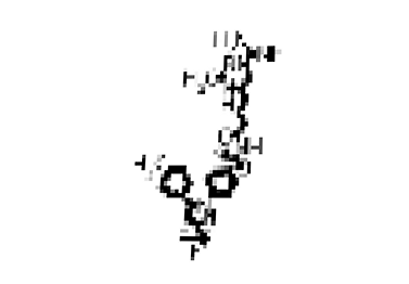 CC(=O)NC(CCCC(=O)NS(=O)(=O)c1ccc(-n2nc(C(F)(F)F)cc2-c2ccc(C)cc2)cc1)CNC(=N)N